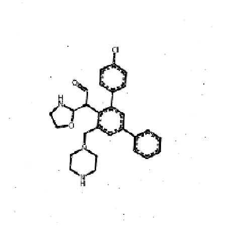 O=C[C](c1c(CN2CCNCC2)cc(-c2ccccc2)cc1-c1ccc(Cl)cc1)[C@@H]1NCCO1